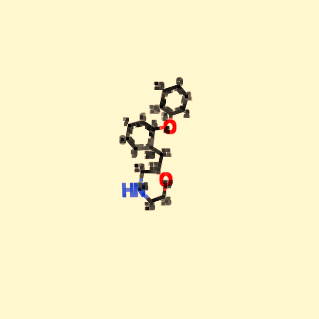 c1ccc(Oc2ccccc2CC2CNCCO2)cc1